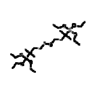 CCO[Si](OCC)(OCC)C(C)(C)CCSSCCC(C)(C)[Si](OCC)(OCC)OCC